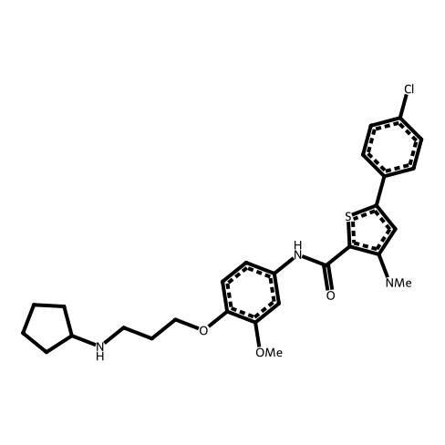 CNc1cc(-c2ccc(Cl)cc2)sc1C(=O)Nc1ccc(OCCCNC2CCCC2)c(OC)c1